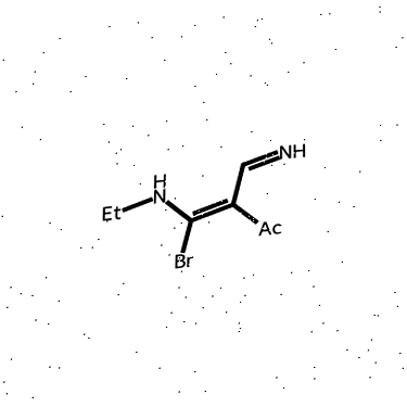 CCN/C(Br)=C(\C=N)C(C)=O